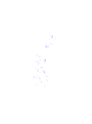 Cn1c(Nc2c(F)cccc2Cl)nc2cnc(NC3CCN(c4cccnc4)CC3)nc21